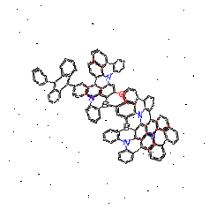 c1ccc(-c2ccccc2N(c2ccccc2)c2cc3c4c(c2)N(c2c(-c5ccccc5)cccc2-c2ccccc2)c2cc5c(cc2B4c2ccccc2N3c2ccccc2-c2ccccc2)B2c3ccccc3N(c3ccc(-c4c6ccccc6c(-c6ccccc6)c6ccccc46)cc3)c3cc(N(c4ccccc4-c4ccccc4)c4ccccc4-c4ccccc4)cc(c32)O5)cc1